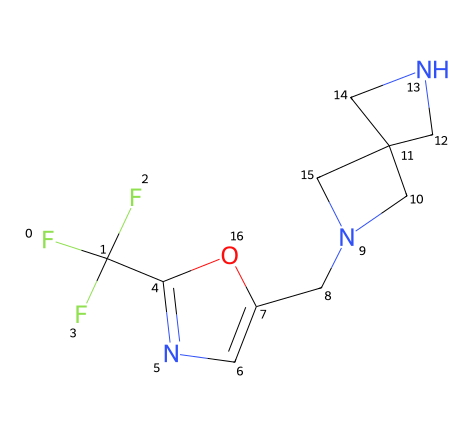 FC(F)(F)c1ncc(CN2CC3(CNC3)C2)o1